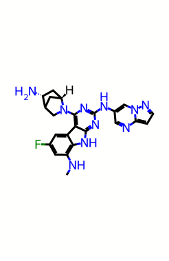 CNc1cc(F)cc2c1[nH]c1nc(Nc3cnc4ccnn4c3)nc(N3CC4C[C@@H]3C[C@H]4N)c12